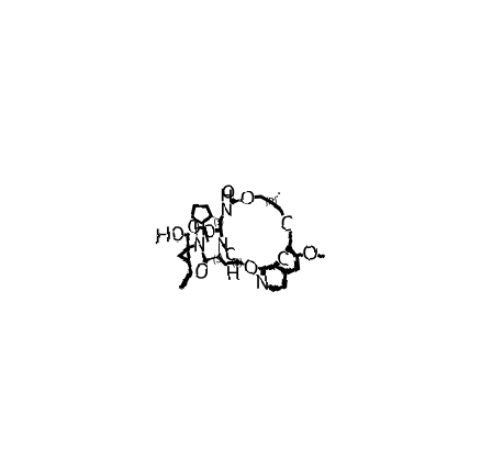 C=CC1CC1(NC(=O)[C@@H]1C[C@@H]2CN1C(=O)[C@H](C1CCCC1)NC(=O)OC[C@H](C)CCCc1cc3c(nccc3cc1OC)O2)C(O)OCC